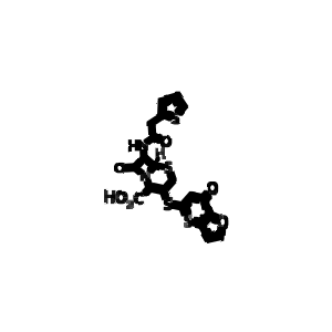 O=C(Cc1cccs1)NC1C(=O)N2C(C(=O)O)=C(Sc3cc(=O)c4occc4s3)CS[C@H]12